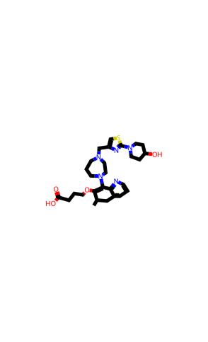 CC1Cc2cccnc2C(N2CCCN(Cc3csc(N4CCC(O)CC4)n3)CC2)=C1OCCCC(=O)O